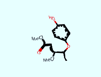 COC(=O)C=C(OC)C(C)Oc1ccc(O)cc1